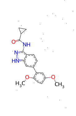 COc1ccc(OC)c(-c2ccc3c(NC(=O)C4CC4)n[nH]c3c2)c1